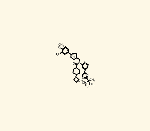 COc1ccc(C23CCC(CN(C(=O)C4CCC(N5CC[C@H]5CO)CC4)c4cc(-c5coc(C(C)(C)C)n5)ccn4)(CC2)CC3)cc1C